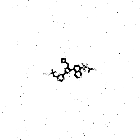 CC(NS(=O)(=O)c1ccc(-c2sc(-c3cc(CC(C)(C)C(=O)O)ncn3)nc2CC2CCC2)c2ccncc12)C(F)(F)F